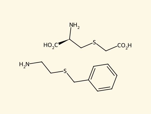 NCCSCc1ccccc1.N[C@@H](CSCC(=O)O)C(=O)O